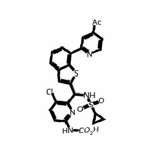 CC(=O)c1ccnc(-c2cccc3cc(C(NS(=O)(=O)C4CC4)c4nc(NC(=O)O)ccc4Cl)sc23)c1